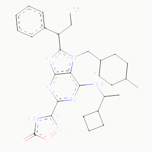 COCC(c1ccccc1)c1nc2nc(-c3noc(=O)[nH]3)nc(NC(C)C3CCC3)c2n1CC1CCC(C)CC1